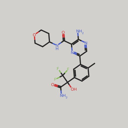 Cc1ccc(C(O)(C(N)=O)C(F)(F)F)cc1-c1cnc(N)c(C(=O)NC2CCOCC2)n1